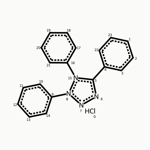 Cl.c1ccc(-c2nn[n+](-c3ccccc3)n2-c2ccccc2)cc1